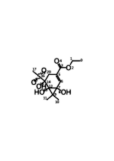 CCOC(=O)C1=CC2(O)C(C)(C)C2(O)C(O)(S(C)(=O)=O)C1